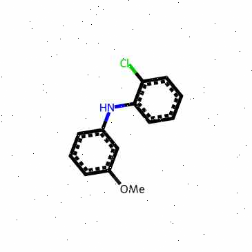 COc1cccc(Nc2ccccc2Cl)c1